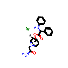 NC(=O)C[N+]12CCC(CC1)[C@@H](OC(=O)C(Nc1ccccc1)c1ccccc1)C2.[Br-]